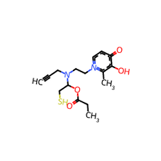 C#CCN(CCn1ccc(=O)c(O)c1C)C(CS)OC(=O)CC